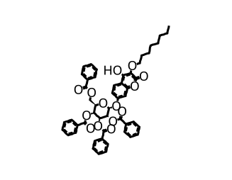 CCCCCCCCOc1c(O)c2ccc(O[C@@H]3O[C@H](COC(=O)c4ccccc4)[C@H](OC(=O)c4ccccc4)[C@H](OC(=O)c4ccccc4)[C@H]3OC(=O)c3ccccc3)cc2oc1=O